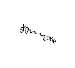 COCCCCCCCOCC1(C)COC1